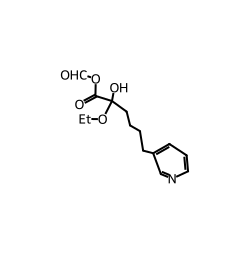 CCOC(O)(CCCCc1cccnc1)C(=O)OC=O